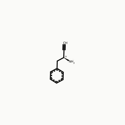 C#C[C@@H](N)Cc1ccccc1